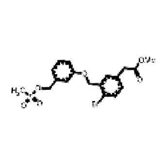 COC(=O)Cc1ccc(Br)c(COc2cccc(COS(C)(=O)=O)c2)c1